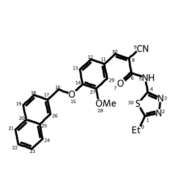 CCc1nnc(NC(=O)C(C#N)=Cc2ccc(OCc3ccc4ccccc4c3)c(OC)c2)s1